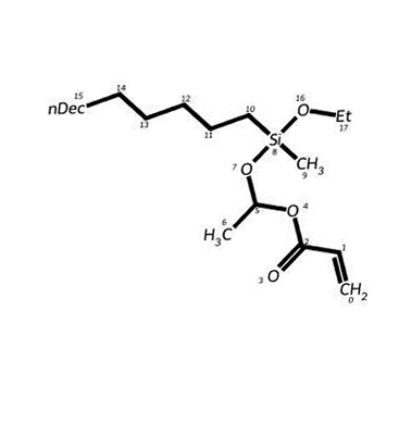 C=CC(=O)OC(C)O[Si](C)(CCCCCCCCCCCCCCC)OCC